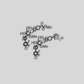 CO[C@@H]1[C@@H](n2cc(-c3ccc(Cl)c(F)c3F)nn2)[C@@H](O)[C@@H](CO)O[C@@H]1CC1=NOC2(CCC(N(C(=O)O)C(C)(C)C)CC2)C1.CO[C@@H]1[C@@H](n2cc(-c3ccc(Cl)c(F)c3F)nn2)[C@@H](O)[C@@H](CO)O[C@@H]1CC1=NOC2(CCC(NC(=O)OC(C)(C)C)CC2)C1